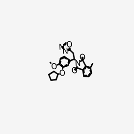 COc1ccc(C(Cc2nnco2)N2C(=O)c3cccc(C)c3C2=O)cc1OC1CCCC1